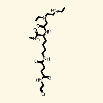 CCNCCN(CC)CC(=O)NC(CCCCNC(=O)CCC(=O)NCC=O)C(=O)NC